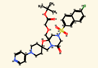 CC(C)(C)OC(=O)COCC12CN(S(=O)(=O)c3ccc4cc(Cl)ccc4c3)CC(=O)N1CC1(CCN(c3ccncc3)CC1)O2